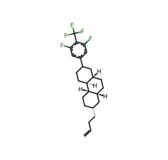 C=CCC[C@@H]1CC[C@H]2[C@H](CC[C@H]3CC(c4cc(F)c(C(F)(F)F)c(F)c4)CC[C@@H]32)C1